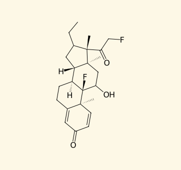 CCC1C[C@H]2[C@@H]3CCC4=CC(=O)C=C[C@]4(C)[C@@]3(F)C(O)C[C@]2(C)[C@@]1(C)C(=O)CF